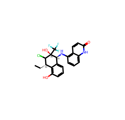 CC[C@H]1c2c(O)cccc2[C@H](Nc2cccc3[nH]c(=O)ccc23)[C@@](O)(C(F)(F)F)C1Cl